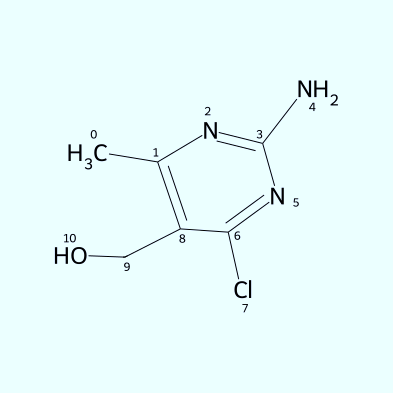 Cc1nc(N)nc(Cl)c1CO